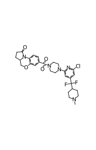 CN1CCC(C(F)(F)c2cc(Cl)nc(N3CCN(S(=O)(=O)c4ccc5c(c4)OCC4CCC(=O)N54)CC3)c2)CC1